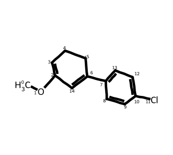 COC1=CC[CH]C(c2ccc(Cl)cc2)=C1